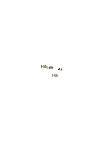 Br.Br.Br.[As]